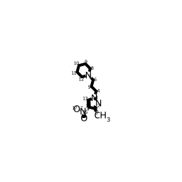 Cc1nn(CCCN2CCCCC2)cc1[N+](=O)[O-]